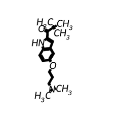 CN(C)CCCOc1ccc2[nH]c(C(=O)C(C)(C)C)cc2c1